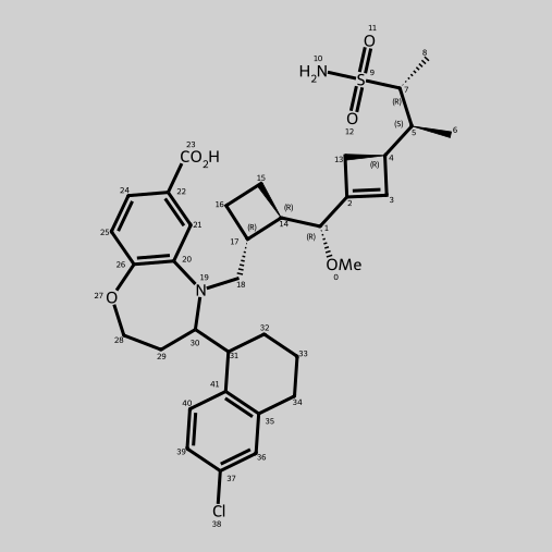 CO[C@@H](C1=C[C@H]([C@H](C)[C@@H](C)S(N)(=O)=O)C1)[C@@H]1CC[C@H]1CN1c2cc(C(=O)O)ccc2OCCC1C1CCCc2cc(Cl)ccc21